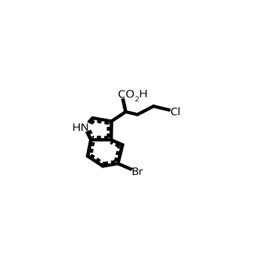 O=C(O)C(CCCl)c1c[nH]c2ccc(Br)cc12